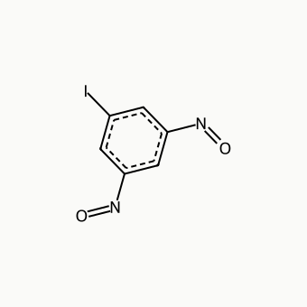 O=Nc1cc(I)cc(N=O)c1